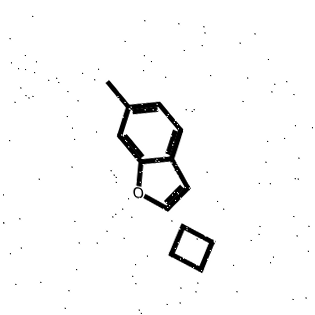 C1CCC1.Cc1ccc2ccoc2c1